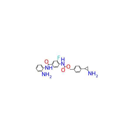 Nc1ccccc1NC(=O)c1ccc(NC(=O)OCc2ccc(C3CC3N)cc2)c(F)c1